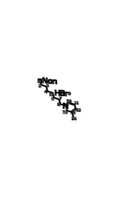 Br.CCCCCCCCCCCCCCCCN1C=CC=C(C)C1